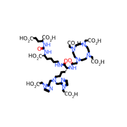 O=C(O)CC[C@H](NC(=O)N[C@@H](CCCCNC(=O)[C@@H](CCCCN(Cc1nccn1CC(=O)O)Cc1nccn1CC(=O)O)NC(=O)CN1CCN(CC(=O)O)CCN(CC(=O)O)CCN(CC(=O)O)CC1)C(=O)O)C(=O)O